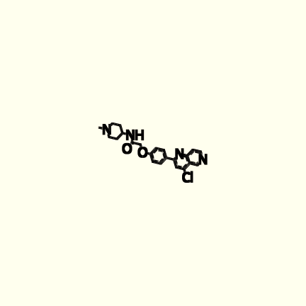 CN1CCC(NC(=O)COc2ccc(-c3cc(Cl)c4cnccc4n3)cc2)CC1